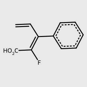 C=CC(=C(F)C(=O)O)c1ccccc1